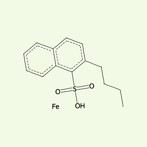 CCCCc1ccc2ccccc2c1S(=O)(=O)O.[Fe]